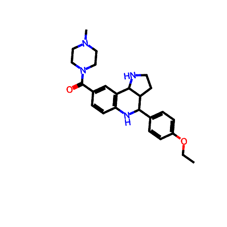 CCOc1ccc(C2Nc3ccc(C(=O)N4CCN(C)CC4)cc3C3NCCC23)cc1